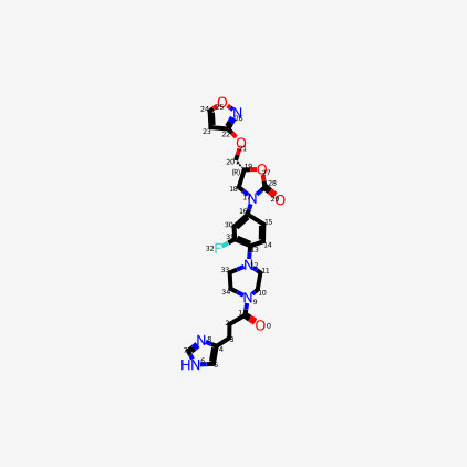 O=C(CCc1c[nH]cn1)N1CCN(c2ccc(N3C[C@H](COc4ccon4)OC3=O)cc2F)CC1